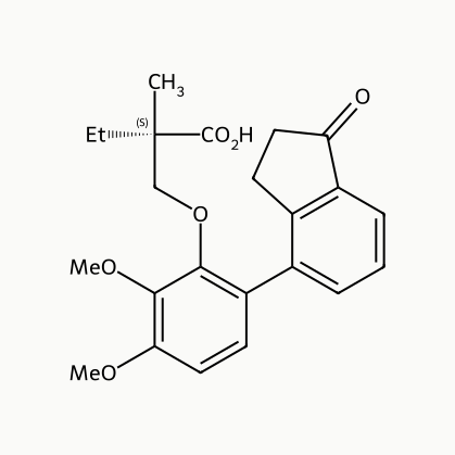 CC[C@@](C)(COc1c(-c2cccc3c2CCC3=O)ccc(OC)c1OC)C(=O)O